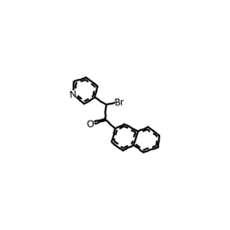 O=C(c1ccc2ccccc2c1)C(Br)c1cccnc1